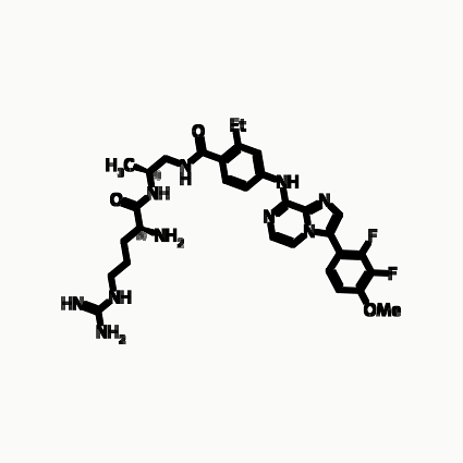 CCc1cc(Nc2nccn3c(-c4ccc(OC)c(F)c4F)cnc23)ccc1C(=O)NC[C@H](C)NC(=O)[C@@H](N)CCCNC(=N)N